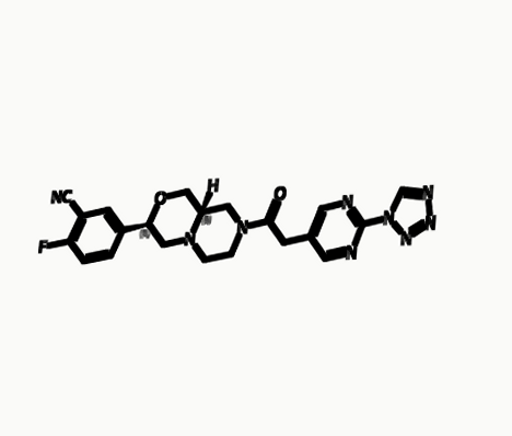 N#Cc1cc([C@@H]2CN3CCN(C(=O)Cc4cnc(-n5cnnn5)nc4)C[C@H]3CO2)ccc1F